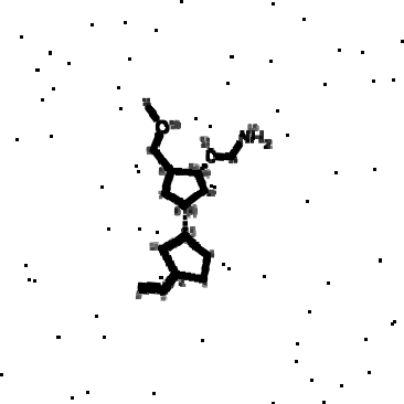 C=CC1CCC([C@@H]2CC(COC)[C@H](OCN)C2)C1